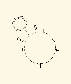 O=C1NCCNCCNCCNC(=O)C1c1ccccc1